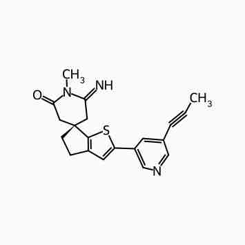 CC#Cc1cncc(-c2cc3c(s2)[C@@]2(CC3)CC(=N)N(C)C(=O)C2)c1